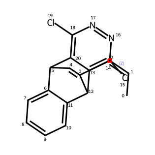 C/C=C\C1=CC2c3ccccc3C1c1c(Cl)nnc(Cl)c12